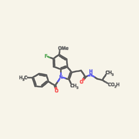 COc1cc2c(CC(=O)NCC(C)C(=O)O)c(C)n(C(=O)c3ccc(C)cc3)c2cc1F